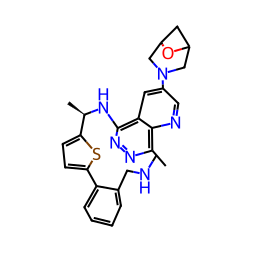 CNCc1ccccc1-c1ccc([C@@H](C)Nc2nnc(C)c3ncc(N4CC5CC(C4)O5)cc23)s1